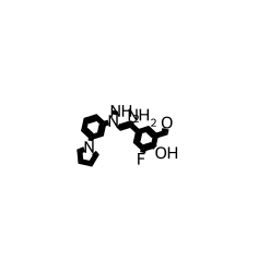 N/C(=C\N(N)c1cccc(N2CCCC2)c1)c1cc(F)c(O)c(C=O)c1